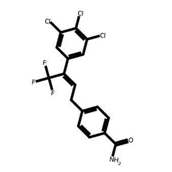 NC(=O)c1ccc(CC=C(c2cc(Cl)c(Cl)c(Cl)c2)C(F)(F)F)cc1